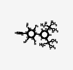 CC(C)(C)c1cc(-c2c(F)c(F)c(C#N)c(F)c2F)cc(C(C)(C)C)c1